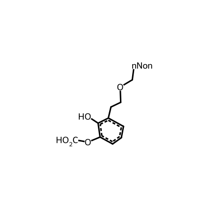 CCCCCCCCCCOCCc1cccc(OC(=O)O)c1O